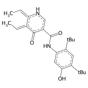 C/C=c1/[nH]cc(C(=O)Nc2cc(O)c(C(C)(C)C)cc2C(C)(C)C)c(=O)/c1=C/C